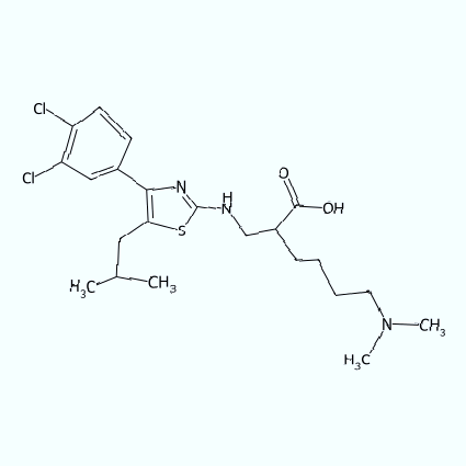 CC(C)Cc1sc(NCC(CCCCN(C)C)C(=O)O)nc1-c1ccc(Cl)c(Cl)c1